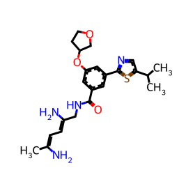 C/C(N)=C/C=C(\N)CNC(=O)c1cc(OC2CCOC2)cc(-c2ncc(C(C)C)s2)c1